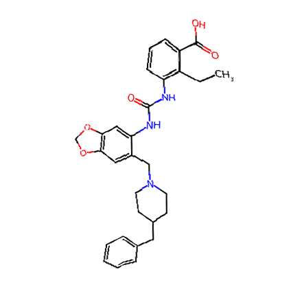 CCc1c(NC(=O)Nc2cc3c(cc2CN2CCC(Cc4ccccc4)CC2)OCO3)cccc1C(=O)O